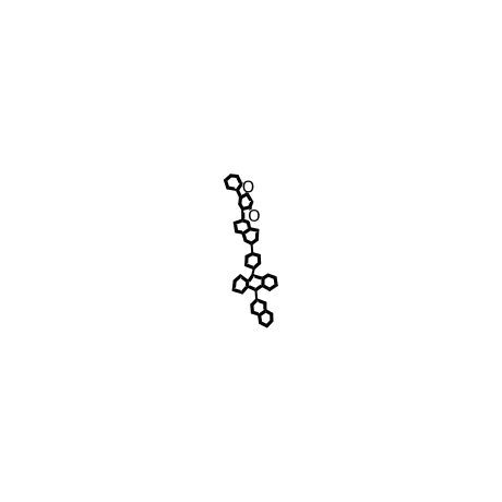 c1ccc2cc(-c3c4ccccc4c(-c4ccc(-c5ccc6c(ccc7c8cc9c(cc8oc67)oc6ccccc69)c5)cc4)c4ccccc34)ccc2c1